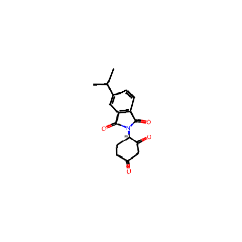 CC(C)c1ccc2c(c1)C(=O)N([C@@H]1CCC(=O)CC1=O)C2=O